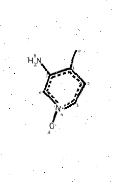 Cc1cc[n+]([O-])cc1N